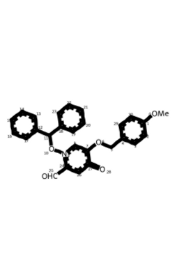 COc1ccc(COc2cn(OC(c3ccccc3)c3ccccc3)c(C=O)cc2=O)cc1